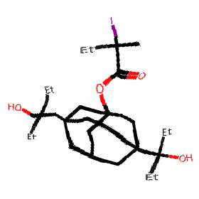 CCC(C)(I)C(=O)OC12CC3CC(C(O)(CC)CC)(C1)CC(C(O)(CC)CC)(C3)C2